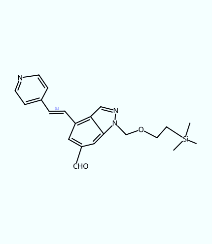 C[Si](C)(C)CCOCn1ncc2c(/C=C/c3ccncc3)cc(C=O)cc21